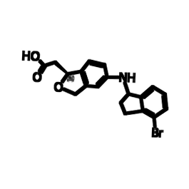 O=C(O)C[C@@H]1OCc2cc(NC3CCc4c(Br)cccc43)ccc21